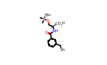 CC(C)Cc1cccc(C(=O)N[C@@H](CO[Si](C)(C)C(C)(C)C)C(=O)O)c1